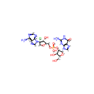 Nc1nc2c(ncn2[C@@H]2O[C@H](CO)[C@@H](O)[C@H]2OP(=O)(O)OC[C@H]2OC[C@@](Cl)(n3cnc4c(N)ncnc43)[C@@H]2O)c(=O)[nH]1